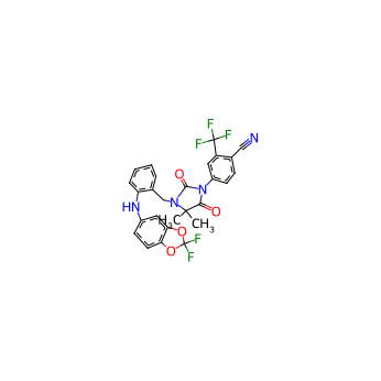 CC1(C)C(=O)N(c2ccc(C#N)c(C(F)(F)F)c2)C(=O)N1Cc1ccccc1Nc1ccc2c(c1)OC(F)(F)O2